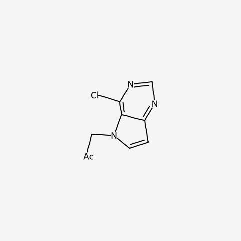 CC(=O)Cn1ccc2ncnc(Cl)c21